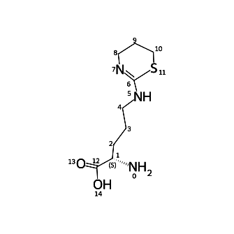 N[C@@H](CCCNC1=NCCCS1)C(=O)O